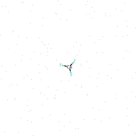 [F][Ca]([F])[F]